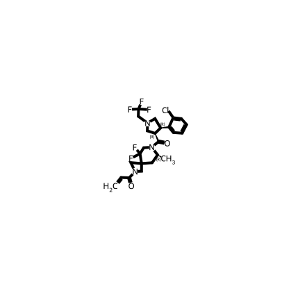 C=CC(=O)N1CC2(C[C@@H](C)N(C(=O)[C@H]3CN(CC(F)(F)F)C[C@H]3c3ccccc3Cl)CC2(F)F)C1